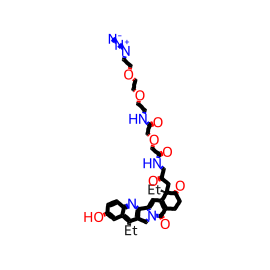 CCc1c2c(nc3ccc(O)cc13)-c1cc3c(c(=O)n1C2)CCC(=O)[C@@]3(CC)CC(=O)CNC(=O)COCC(=O)NCCOCCOCCN=[N+]=[N-]